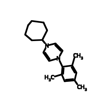 Cc1cc(C)c(N2C=CN(C3CCCCCC3)C=C2)c(C)c1